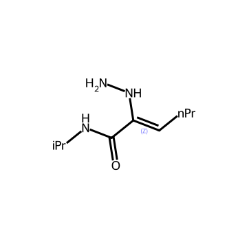 CCC/C=C(\NN)C(=O)NC(C)C